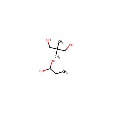 CC(C)(CO)CO.CCC(O)O